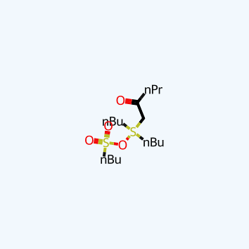 CCCCS(CCCC)(CC(=O)CCC)OS(=O)(=O)CCCC